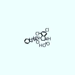 O=C(NCc1ccccc1)N[C@@H]1C[C@@H](C(=O)O)Nc2cc(Cl)cc(Cl)c21